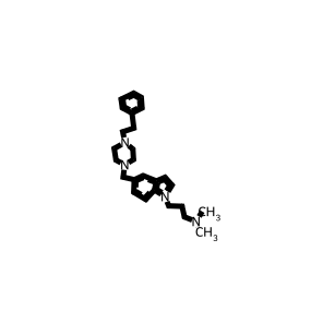 CN(C)CCCn1ccc2cc(CN3CCN(CCc4ccccc4)CC3)ccc21